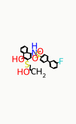 C=C(O)CSc1cc(NS(=O)(=O)c2ccc(-c3cccc(F)c3)cc2)c2ccccc2c1O